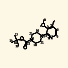 COc1c(C)ccnc1N1CCN(C(=O)OC(C)(C)C)CC1